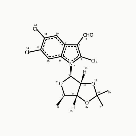 C[C@H]1O[C@@H](n2c(Cl)c(C=O)c3cc(Cl)c(Cl)cc32)[C@@H]2OC(C)(C)O[C@@H]21